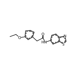 CCOc1cccc(CC(=O)Nc2ccc3ncsc3c2)c1